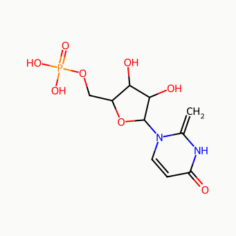 C=C1NC(=O)C=CN1C1OC(COP(=O)(O)O)C(O)C1O